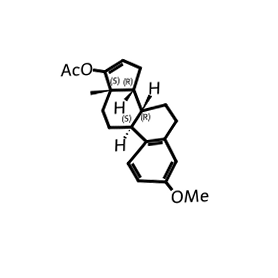 COc1ccc2c(c1)CC[C@@H]1[C@@H]2CC[C@]2(C)C(OC(C)=O)=CC[C@H]12